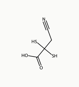 N#CCC(S)(S)C(=O)O